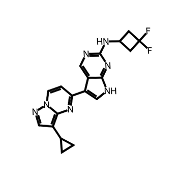 FC1(F)CC(Nc2ncc3c(-c4ccn5ncc(C6CC6)c5n4)c[nH]c3n2)C1